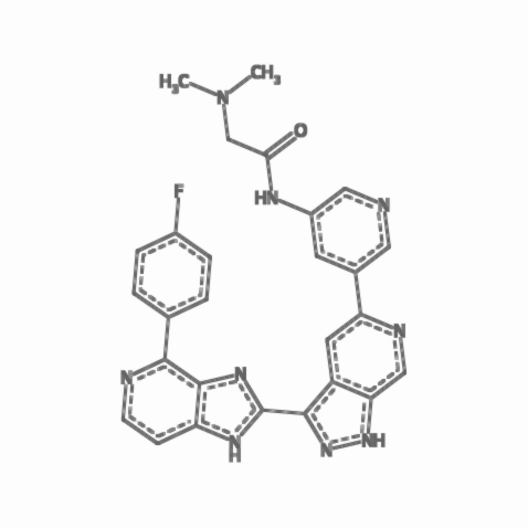 CN(C)CC(=O)Nc1cncc(-c2cc3c(-c4nc5c(-c6ccc(F)cc6)nccc5[nH]4)n[nH]c3cn2)c1